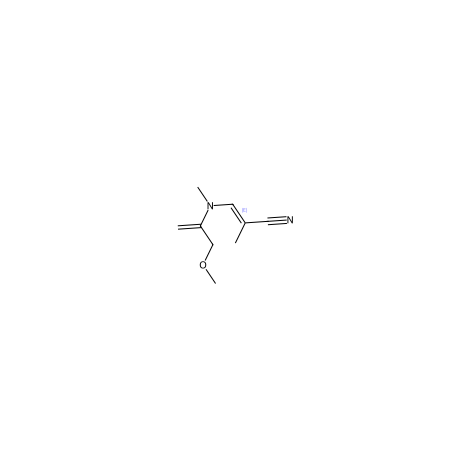 C=C(COC)N(C)/C=C(\C)C#N